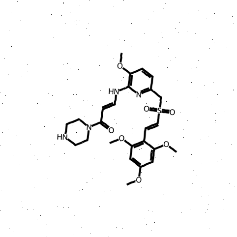 COc1cc(OC)c(C=CS(=O)(=O)Cc2ccc(OC)c(NC=CC(=O)N3CCNCC3)n2)c(OC)c1